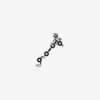 OCc1cccc(COc2ccc(C#Cc3ccc(C(F)(F)C(O)(Cn4cnnn4)c4ccc(F)cc4F)nc3)cc2)c1